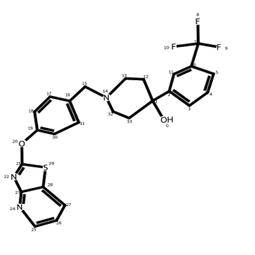 OC1(c2cccc(C(F)(F)F)c2)CCN(Cc2ccc(Oc3nc4ncccc4s3)cc2)CC1